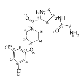 NCC(=O)NC1CN[C@@H](C(=O)N2CCC(Oc3cc(Cl)cc(Cl)c3)CC2)C1